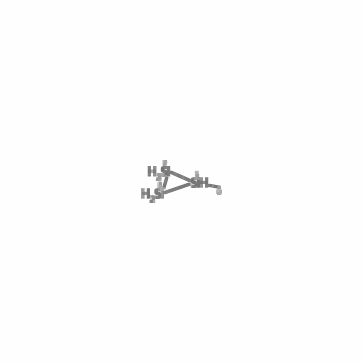 C[SiH]1[SiH2][SiH2]1